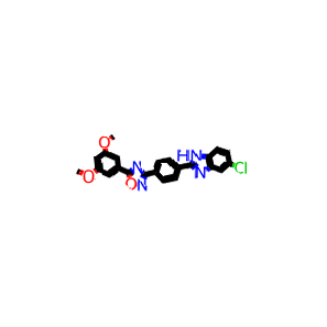 COc1cc(OC)cc(-c2nc(-c3ccc(-c4nc5cc(Cl)ccc5[nH]4)cc3)no2)c1